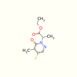 CCOC(=O)C(C)n1ncc(F)c(C)c1=O